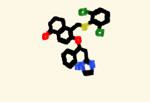 O=C1CCCc2c1ccc(O[C@@H](Cc1ncc[nH]1)c1ccccc1)c2CSc1c(Cl)cccc1Cl